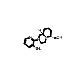 Nc1cccnc1N1CCN2[C@@H](CO)CCC[C@H]2C1